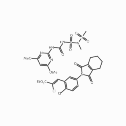 CCOC(=O)/C(Cl)=C/c1cc(N2C(=O)C3=C(CCCC3)C2=O)ccc1Cl.COc1cc(OC)nc(NC(=O)NS(=O)(=O)N(C)S(C)(=O)=O)n1